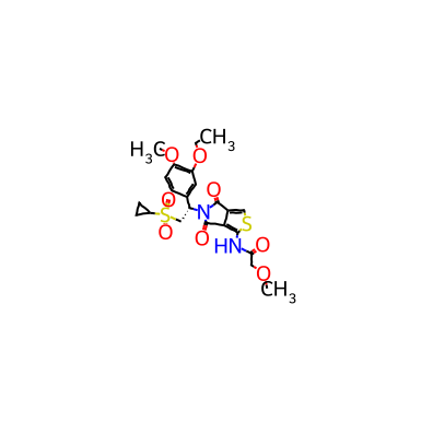 CCOc1cc([C@@H](CS(=O)(=O)C2CC2)N2C(=O)c3csc(NC(=O)COC)c3C2=O)ccc1OC